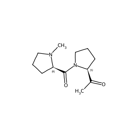 CC(=O)[C@@H]1CCCN1C(=O)[C@H]1CCCN1C